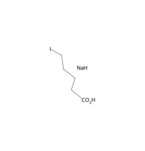 O=C(O)CCCCI.[NaH]